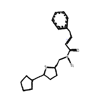 CCN(CC1CCC(C2CCCC2)S1)C(=O)/C=C/c1ccccc1